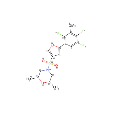 COc1c(F)c(F)cc(-c2cc(S(=O)(=O)N3CC(C)O[C@@H](C)C3)co2)c1F